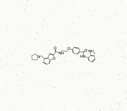 Nc1ccccc1NC(=O)c1ccc(OCCNC(=O)c2cc3c(CN4CCCC4)cccc3o2)cc1